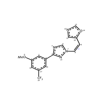 COc1cc(-c2ncn(/C=C\c3cnco3)n2)cc(C(F)(F)F)c1